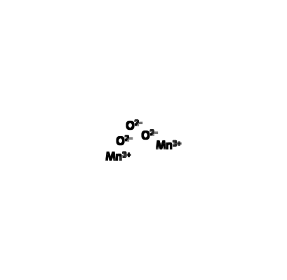 [Mn+3].[Mn+3].[O-2].[O-2].[O-2]